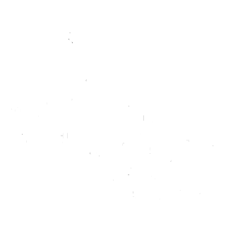 COC1(c2ccc(C#N)c(OP(=O)(O)O)c2)OOC12C1CCCC2C2=C(CCCC2)C1